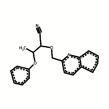 CC(Oc1ccccc1)C(C#N)OCc1ccc2ccccc2n1